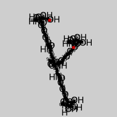 CC(=O)N[C@H]1[C@H](OCCOCCOCCOCC(=O)NCCCC[C@H](NC(=O)COCCOCCOCCO[C@@H]2O[C@H](CO)[C@H](O)[C@H](O)[C@H]2NC(C)=O)C(=O)NC(CCCCCNC(=O)COCCOCCOCCO[C@@H]2O[C@H](CCO)[C@H](O)[C@H](O)[C@H]2NC(C)=O)C(C)=O)O[C@H](CO)[C@H](O)[C@@H]1O